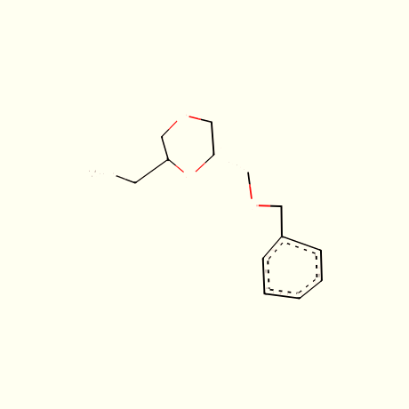 COCC1COC[C@H](COCc2ccccc2)O1